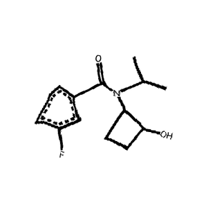 CC(C)N(C(=O)c1cccc(F)c1)C1CCC1O